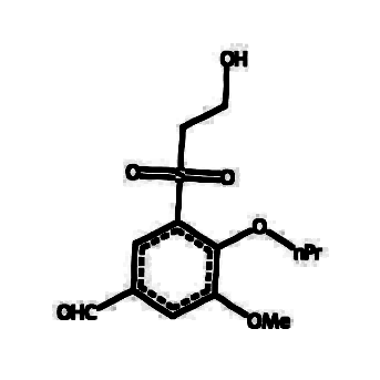 CCCOc1c(OC)cc(C=O)cc1S(=O)(=O)CCO